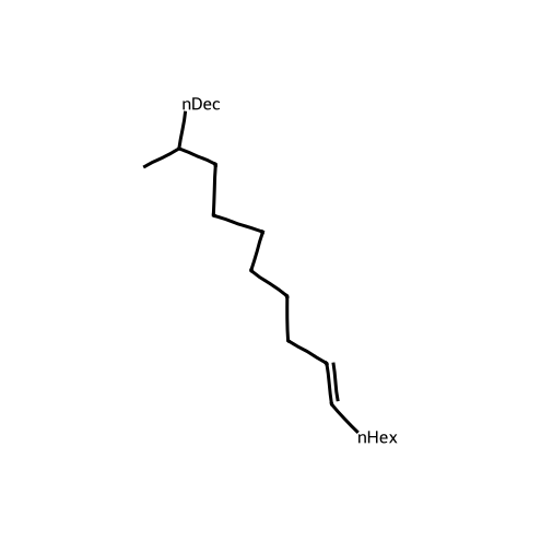 CCCCCCC=CCCCCCCC(C)CCCCCCCCCC